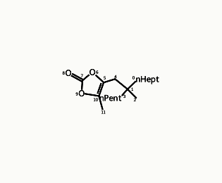 CCCCCCCC(C)(CCCCC)Cc1oc(=O)oc1C